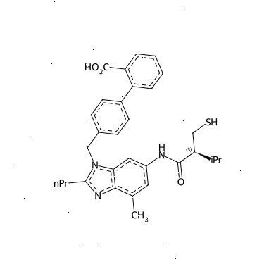 CCCc1nc2c(C)cc(NC(=O)[C@@H](CS)C(C)C)cc2n1Cc1ccc(-c2ccccc2C(=O)O)cc1